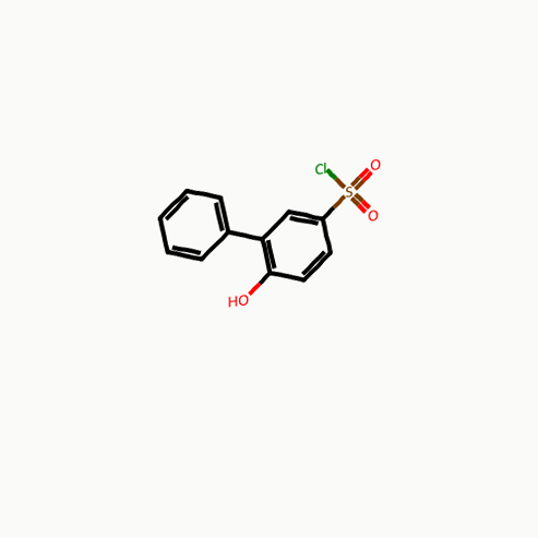 O=S(=O)(Cl)c1ccc(O)c(-c2ccccc2)c1